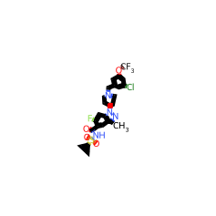 Cc1nn(C2CCN(Cc3cc(Cl)cc(OC(F)(F)F)c3)CC2)c2cc(F)c(C(=O)NS(=O)(=O)C3CC3)cc12